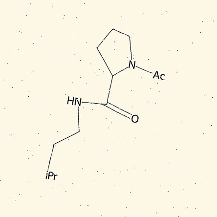 CC(=O)N1CCCC1C(=O)NCCC(C)C